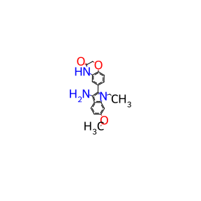 CCn1c(-c2ccc3c(c2)NC(=O)CO3)c(N)c2ccc(OC)cc21